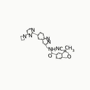 C[C@@]1(C#N)COCc2ccc(C(=O)NCc3cc4cc(-c5nccc(N6CCC6)n5)ccc4nn3)cc21